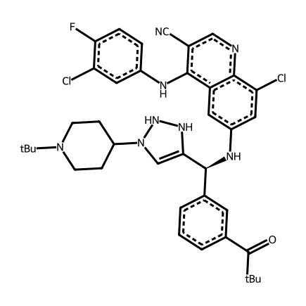 CC(C)(C)C(=O)c1cccc([C@H](Nc2cc(Cl)c3ncc(C#N)c(Nc4ccc(F)c(Cl)c4)c3c2)C2=CN(C3CCN(C(C)(C)C)CC3)NN2)c1